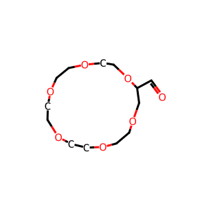 O=CC1COCCOCCOCCOCCOCCO1